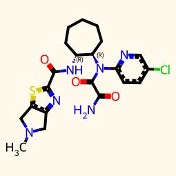 CN1Cc2nc(C(=O)N[C@@H]3CCCCC[C@H]3N(C(=O)C(N)=O)c3ccc(Cl)cn3)sc2C1